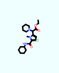 CCOC(=O)C(c1ccc(C(=O)NC2CCCCC2)n1C)N1CCCCC1.Cl